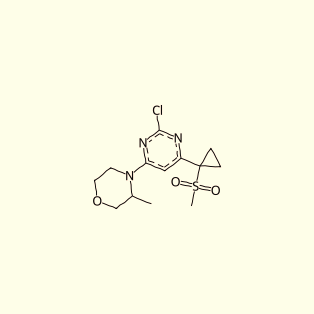 CC1COCCN1c1cc(C2(S(C)(=O)=O)CC2)nc(Cl)n1